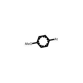 COc1ccc([At])cc1